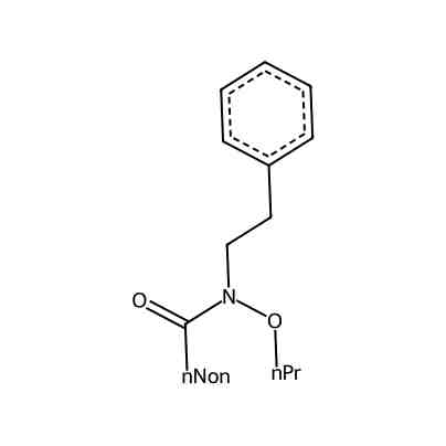 CCCCCCCCCC(=O)N(CCc1ccccc1)OCCC